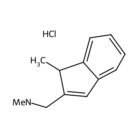 CNCC1=Cc2ccccc2C1C.Cl